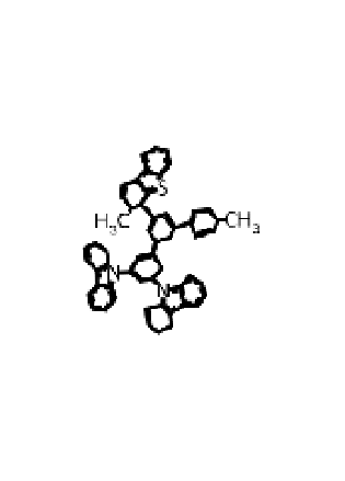 CC1C=CC(C2=CC(C3c4sc5ccccc5c4C=CC3C)=CC(C3=CC(n4c5c(c6ccccc64)C=CCC5)=CC(n4c5c(c6ccccc64)CCC=C5)C3)C2)=CC1